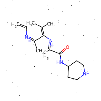 C=C/N=C(/C)C(/N=C(\C)C(=O)NC1CCNCC1)=C(C)C